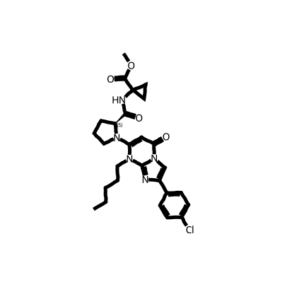 CCCCCn1c(N2CCC[C@H]2C(=O)NC2(C(=O)OC)CC2)cc(=O)n2cc(-c3ccc(Cl)cc3)nc12